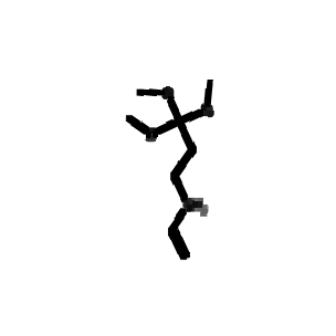 C=C[SiH2]CCC(OC)(OC)OC